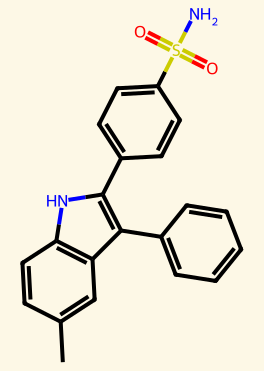 Cc1ccc2[nH]c(-c3ccc(S(N)(=O)=O)cc3)c(-c3ccccc3)c2c1